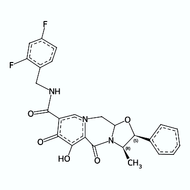 C[C@@H]1[C@H](c2ccccc2)OC2Cn3cc(C(=O)NCc4ccc(F)cc4F)c(=O)c(O)c3C(=O)N21